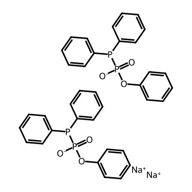 O=P([O-])(Oc1ccccc1)P(c1ccccc1)c1ccccc1.O=P([O-])(Oc1ccccc1)P(c1ccccc1)c1ccccc1.[Na+].[Na+]